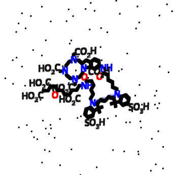 CC1(C)C(/C=C/C=C2/N(CCCCCC(=O)Nc3ccc(CC4CN(CC(=O)O)CCN(CC(=O)O)CCN(CC(=O)O)CCN4CC(=O)O)cc3)c3ccc(S(=O)(=O)O)cc3C2(C)C)=[N+](CCCCCC(=O)NCCCCC(CC(=O)C[C@@H](CCC(=O)O)C(=O)O)C(=O)O)c2ccc(S(=O)(=O)O)cc21